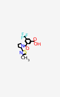 Cc1csc(C2CCCN2C(=O)c2cc(C(=O)O)cc(C(F)(F)F)c2)n1